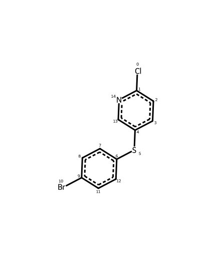 Clc1ccc(Sc2ccc(Br)cc2)cn1